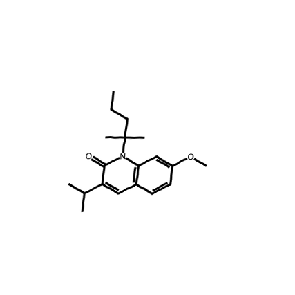 CCCC(C)(C)n1c(=O)c(C(C)C)cc2ccc(OC)cc21